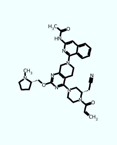 C=CC(=O)N1CCN(c2nc(OC[C@@H]3CCCN3C)nc3c2CCN(c2nc(NC(C)=O)cc4ccccc24)C3)C[C@@H]1CC#N